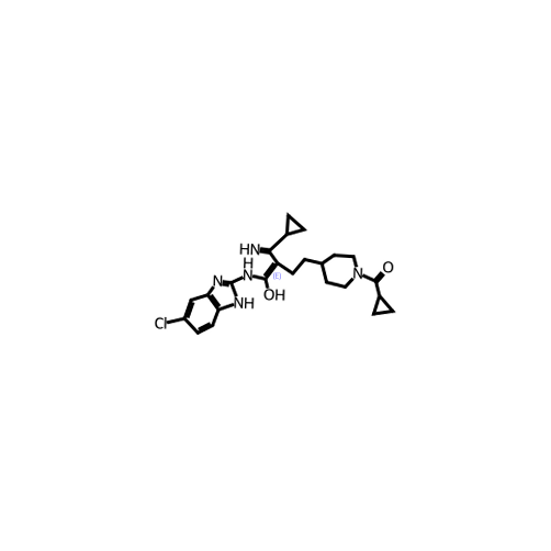 N=C(/C(CCC1CCN(C(=O)C2CC2)CC1)=C(/O)Nc1nc2cc(Cl)ccc2[nH]1)C1CC1